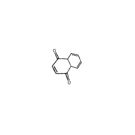 O=C1C=CC(=O)C2C=CC=CC12